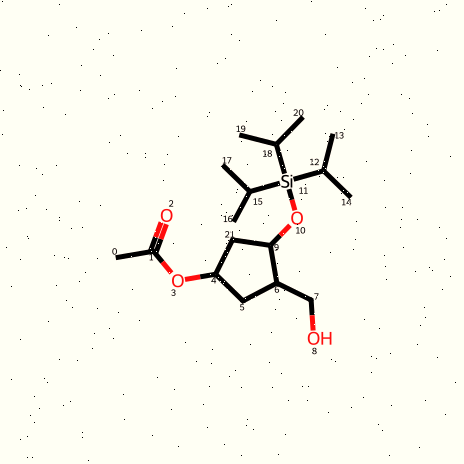 CC(=O)OC1CC(CO)C(O[Si](C(C)C)(C(C)C)C(C)C)C1